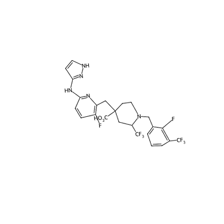 O=C(O)C1(Cc2nc(Nc3cc[nH]n3)ccc2F)CCN(Cc2cccc(C(F)(F)F)c2F)C(C(F)(F)F)C1